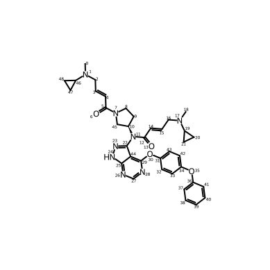 CN(CC=CC(=O)N1CC[C@@H](N(C(=O)C=CCN(C)C2CC2)c2n[nH]c3ncnc(Oc4ccc(Oc5ccccc5)cc4)c23)C1)C1CC1